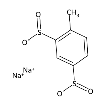 Cc1ccc(S(=O)[O-])cc1S(=O)[O-].[Na+].[Na+]